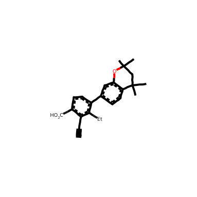 C#Cc1c(C(=O)O)ccc(-c2ccc3c(c2)OC(C)(C)CC3(C)C)c1CC